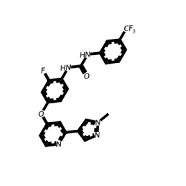 Cn1cc(-c2cc(Oc3ccc(NC(=O)Nc4cccc(C(F)(F)F)c4)c(F)c3)ccn2)cn1